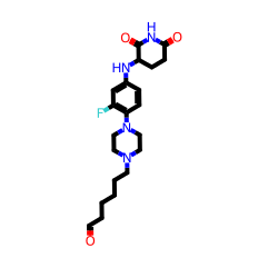 O=CCCCCCN1CCN(c2ccc(NC3CCC(=O)NC3=O)cc2F)CC1